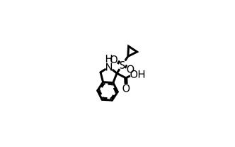 O=C(O)C1(S(=O)(=O)C2CC2)NCc2ccccc21